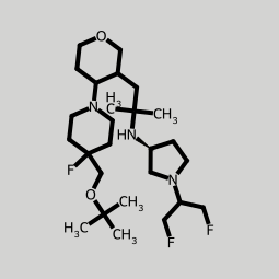 CC(C)(CC1COCCC1N1CCC(F)(COC(C)(C)C)CC1)N[C@H]1CCN(C(CF)CF)C1